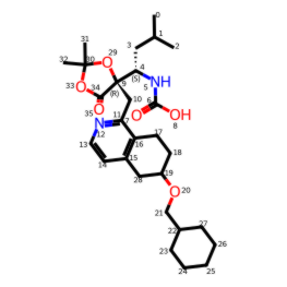 CC(C)C[C@H](NC(=O)O)[C@@]1(Cc2nccc3c2CCC(OCC2CCCCC2)C3)OC(C)(C)OC1=O